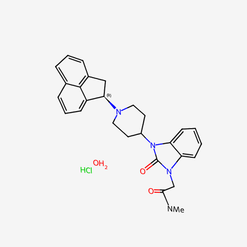 CNC(=O)Cn1c(=O)n(C2CCN([C@@H]3Cc4cccc5cccc3c45)CC2)c2ccccc21.Cl.O